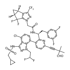 CC(C)(C#Cc1ccc(-c2ccc(Cl)c3c(NS(=O)(=O)CC4CC4)nn(CC(F)F)c23)c([C@H](Cc2cc(F)cc(F)c2)NC(=O)Cn2nc(C(F)(F)F)c3c2C(F)(F)[C@@H]2C[C@H]32)n1)C=O